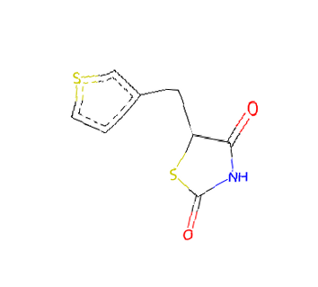 O=C1NC(=O)C(Cc2ccsc2)S1